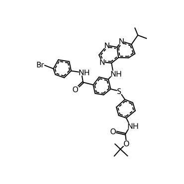 CC(C)c1ccc2c(Nc3cc(C(=O)Nc4ccc(Br)cc4)ccc3Sc3ccc(NC(=O)OC(C)(C)C)cc3)ncnc2n1